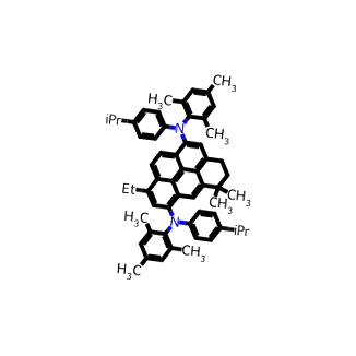 CCc1cc(N(c2ccc(C(C)C)cc2)c2c(C)cc(C)cc2C)c2cc3c4c(cc(N(c5ccc(C(C)C)cc5)c5c(C)cc(C)cc5C)c5ccc1c2c54)CCC3(C)C